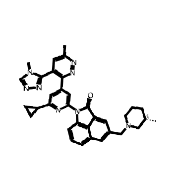 Cc1cc(-c2nncn2C)c(-c2cc(C3CC3)nc(N3C(=O)c4cc(CN5CCC[C@H](C)C5)cc5cccc3c45)c2)nn1